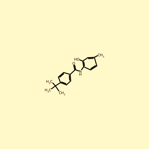 Cc1ccc(NC(=O)c2ccc(C(C)(C)C)cc2)c(O)c1